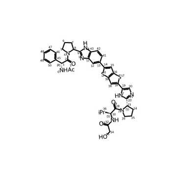 CC(=O)N[C@@H](C(=O)N1CCCC1c1nc2cc(-c3cc4sc(-c5cnc([C@@H]6CCCN6C(=O)[C@@H](NC(=O)CO)C(C)C)[nH]5)cc4s3)ccc2[nH]1)c1ccccc1